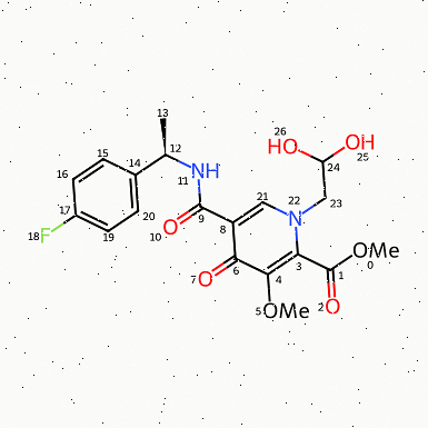 COC(=O)c1c(OC)c(=O)c(C(=O)N[C@H](C)c2ccc(F)cc2)cn1CC(O)O